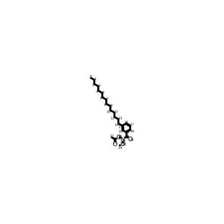 CCCCCCCCCCCCCCCc1cccc(C(=O)N(OC)OC(C)=O)c1